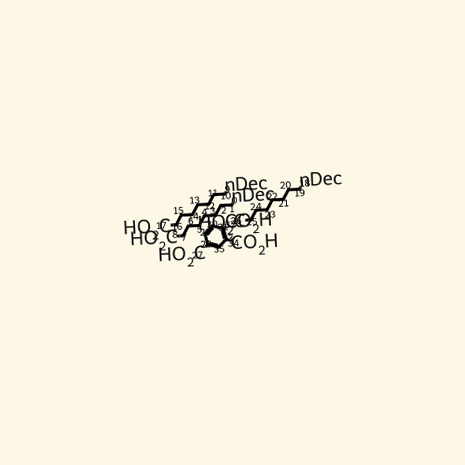 CCCCCCCCCCCCCCCCCC(=O)O.CCCCCCCCCCCCCCCCCC(=O)O.CCCCCCCCCCCCCCCCCC(=O)O.O=C(O)c1ccc(C(=O)O)c(C(=O)O)c1